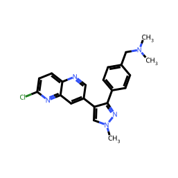 CN(C)Cc1ccc(-c2nn(C)cc2-c2cnc3ccc(Cl)nc3c2)cc1